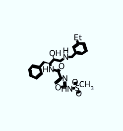 CCc1cccc(CNC[C@@H](O)[C@H](Cc2ccccc2)NC(=O)c2coc(NS(C)(=O)=O)n2)c1